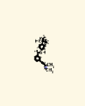 C/N=C(\C)C#Cc1cccc(C(=O)Nc2ccc(C(O)(C(F)(F)F)C(F)(F)F)cc2)c1